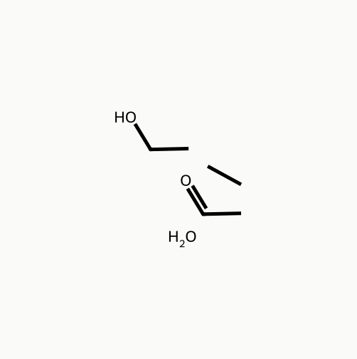 CC.CC=O.CCO.O